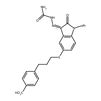 CCCN1C(=O)/C(=N\NC(N)=O)c2cc(SCCCc3ccc(C(=O)O)cc3)ccc21